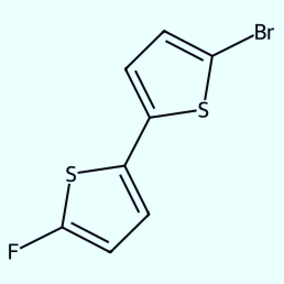 Fc1ccc(-c2ccc(Br)s2)s1